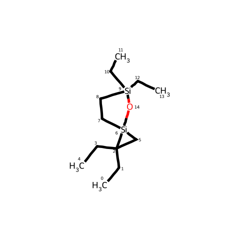 CCC1(CC)C[Si]12CC[Si](CC)(CC)O2